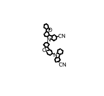 N#Cc1ccc2c(c1)c1ccccc1n2-c1ccc2oc3ccc(-n4c5ccc(C#N)cc5c5c6oc7ccccc7c6ccc54)cc3c2c1